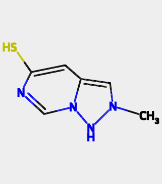 CN1C=C2C=C(S)N=CN2N1